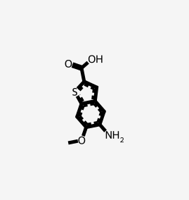 COc1cc2sc(C(=O)O)cc2cc1N